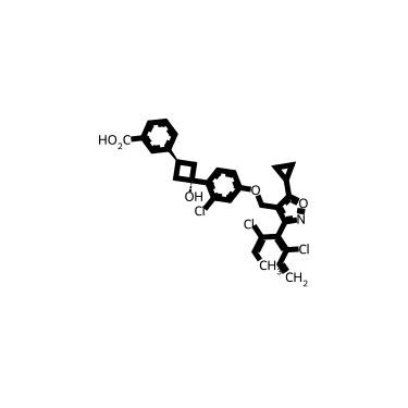 C=C/C(Cl)=C(\C(Cl)=C/C)c1noc(C2CC2)c1COc1ccc([C@]2(O)C[C@H](c3cccc(C(=O)O)c3)C2)c(Cl)c1